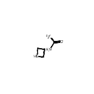 C1CNC1.NC(=O)C(F)(F)F